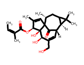 C/C=C(/C)C(=O)O[C@H]1C(C)=CC23C(=O)[C@@H](C=C(CO)[C@@H](O)[C@]12O)[C@H]1C(C[C@H]3C)C1(C)C